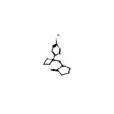 O=C1CCCC1[C@H](O)C1(c2ccc(OC(F)(F)F)cc2)CCC1